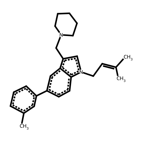 CC(C)=CCn1cc(CN2CCCCC2)c2cc(-c3cccc(C)c3)ccc21